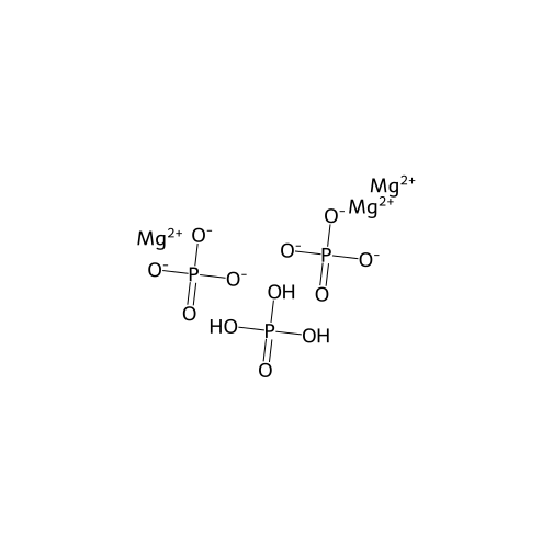 O=P(O)(O)O.O=P([O-])([O-])[O-].O=P([O-])([O-])[O-].[Mg+2].[Mg+2].[Mg+2]